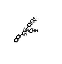 FC(F)(F)Oc1ccc(-c2nc3cc(-c4ccc5ccccc5c4)cnc3n2C2CCNCC2)cc1